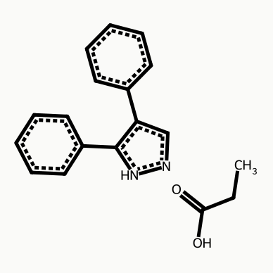 CCC(=O)O.c1ccc(-c2cn[nH]c2-c2ccccc2)cc1